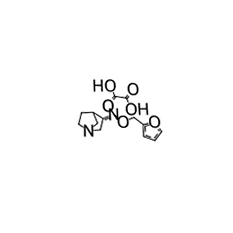 O=C(O)C(=O)O.c1coc(CON=C2CN3CCC2C3)c1